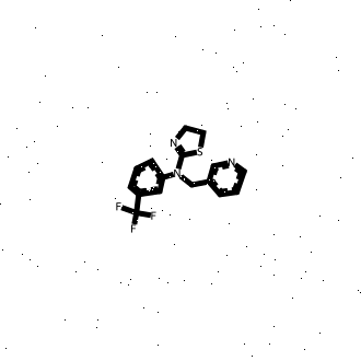 FC(F)(F)c1cccc(N(Cc2cccnc2)C2=NCCS2)c1